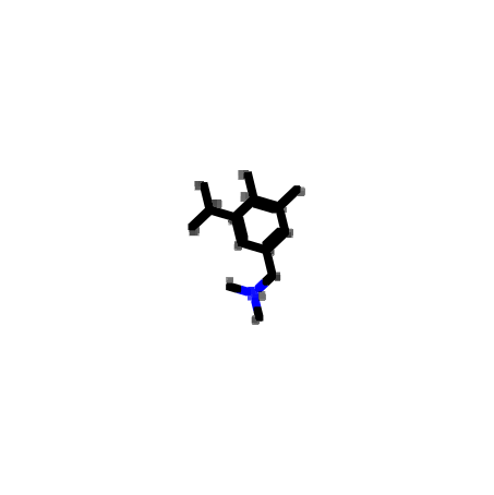 Cc1cc(CN(C)C)cc(C(C)C)c1C